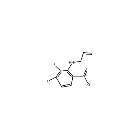 C=CCNc1c([N+](=O)[O-])ccc(F)c1F